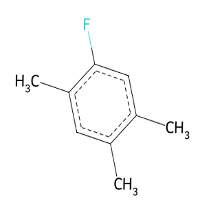 Cc1cc(C)c(F)cc1C